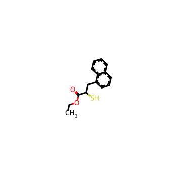 CCOC(=O)C(S)Cc1cccc2ccccc12